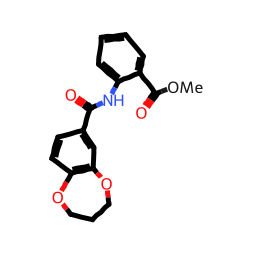 COC(=O)c1ccccc1NC(=O)c1ccc2c(c1)OCCCO2